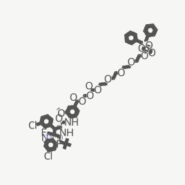 C/N=C\[C@@]1(c2ccc(Cl)cc2F)C(c2cccc(Cl)c2F)[C@H](C(=O)Nc2ccc(C(=O)OCOC(=O)OCCOCCOCCOCCOP(=O)(OCc3ccccc3)OCc3ccccc3)cc2OC)N[C@H]1CC(C)(C)C